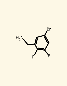 NCc1cc(Br)cc(F)c1F